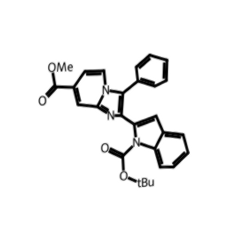 COC(=O)c1ccn2c(-c3ccccc3)c(-c3cc4ccccc4n3C(=O)OC(C)(C)C)nc2c1